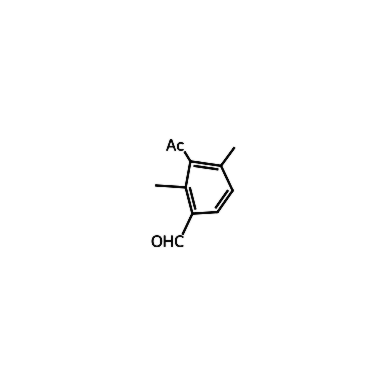 CC(=O)c1c(C)ccc(C=O)c1C